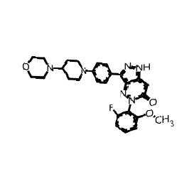 COc1cccc(F)c1-n1nc2c(-c3ccc(N4CCC(N5CCOCC5)CC4)cc3)n[nH]c2cc1=O